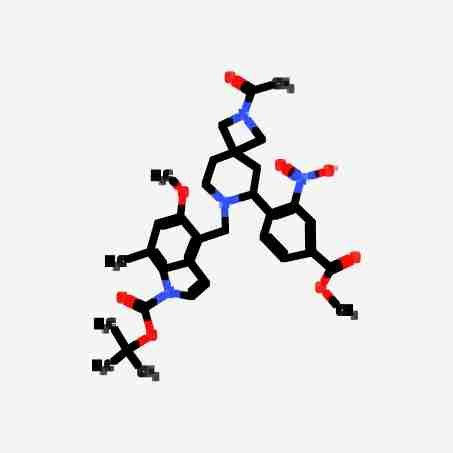 COC(=O)c1ccc(C2CC3(CCN2Cc2c(OC)cc(C)c4c2ccn4C(=O)OC(C)(C)C)CN(C(C)=O)C3)c([N+](=O)[O-])c1